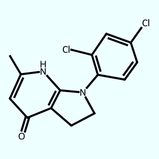 Cc1cc(=O)c2c([nH]1)N(c1ccc(Cl)cc1Cl)CC2